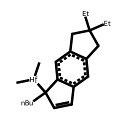 CCCC[C]1([Hf]([CH3])[CH3])C=Cc2cc3c(cc21)CC(CC)(CC)C3